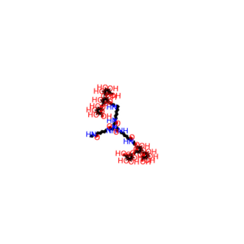 C=C(CCCCCNC(=O)CN(CC(=O)NCCCCCC(=O)NCC)CC(=O)NCCCCCC(=O)NCCO[C@H]1O[C@H](CO[C@H]2O[C@H](CO)[C@@H](O)[C@H](O)[C@@H]2O)[C@@H](O)[C@H](O[C@H]2O[C@H](CO)[C@@H](O)[C@H](O)[C@@H]2O)[C@@H]1O)NCCO[C@H]1O[C@H](CO[C@H]2O[C@H](CO)[C@@H](O)[C@H](O)[C@@H]2O)[C@@H](O)[C@H](O[C@H]2O[C@H](CO)[C@@H](O)[C@H](O)[C@@H]2O)[C@@H]1O